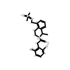 CC1c2cccc(CN=S(C)(C)=O)c2CCN1C(=O)Cc1c(Cl)cccc1Cl